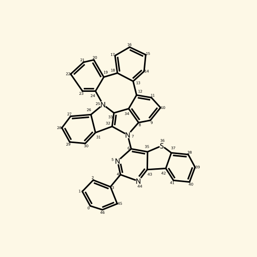 c1ccc(-c2nc(-n3c4cccc5c6ccccc6c6ccccc6n6c7ccccc7c3c6c54)c3sc4ccccc4c3n2)cc1